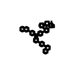 CC1(c2ccccc2)c2ccccc2-c2c(-c3ccc(N(c4ccc(-c5ccc6ccccc6c5)cc4)c4cccc(-c5ccc(-c6cccc7ccccc67)cc5)c4)cc3)cccc21